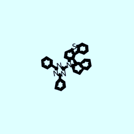 c1ccc(-c2nc(-c3ccccc3)nc(-n3c4ccc5ccccc5c4c4c5c(ccc43)sc3ccccc35)n2)cc1